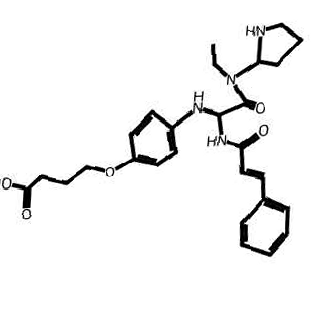 CCN(C(=O)C(NC(=O)C=Cc1ccccc1)Nc1ccc(OCCCC(=O)O)cc1)C1CCCN1